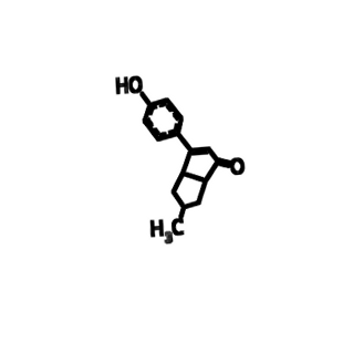 CC1CC2C(=O)C=C(c3ccc(O)cc3)C2C1